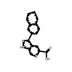 O=C(O)c1cc2c(-c3ccc4ccccc4c3)n[nH]c2cn1